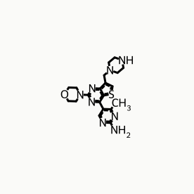 Cc1nc(N)ncc1-c1nc(N2CCOCC2)nc2c(CN3CCNCC3)csc12